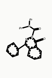 CC(C)N(C(=O)n1nc(-c2ccccc2)c2ccccc2c1=O)C(C)C